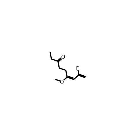 C=C(F)/C=C(\CCC(=O)CC)OC